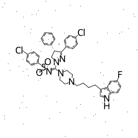 O=S(=O)(/N=C(/N1CCN(CCCCc2c[nH]c3ccc(F)cc23)CC1)N1C[C@H](c2ccccc2)C(c2ccc(Cl)cc2)=N1)c1ccc(Cl)cc1